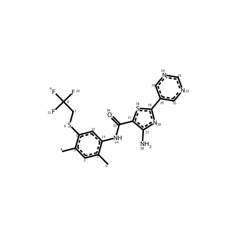 Cc1cc(C)c(SCC(F)(F)F)cc1NC(=O)c1sc(-c2cncnc2)nc1N